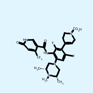 C[C@@H]1CN(c2cc(F)c(C3=CCN(C(=O)O)CC3)c(F)c2NC(=O)c2c[nH]c(=O)cc2C(F)(F)F)C[C@H](C)N1C